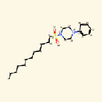 CCCCCCCCCCCCS(=O)(=O)N1CCN(c2ccccc2)CC1